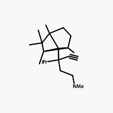 C#CC(CCNC)(C(C)C)C12C3(C)CCC1(C)C2(C)C3(C)C